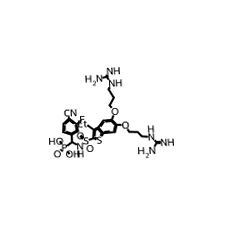 CCc1c(S(=O)(=O)NC(c2ccc(C#N)c(F)c2)P(=O)(O)O)sc2cc(OCCCNC(=N)N)c(OCCCNC(=N)N)cc12